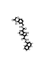 O=C1COc2ccc(CNC(=O)c3ncnc4c(C(=O)NCc5cccc6ccccc56)c[nH]c34)cc2N1